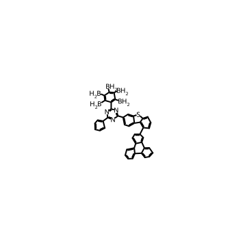 Bc1c(B)c(B)c(-c2nc(-c3ccccc3)nc(-c3ccc4c(c3)sc3cccc(-c5ccc6c7ccccc7c7ccccc7c6c5)c34)n2)c(B)c1B